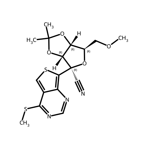 COC[C@H]1O[C@@](C#N)(c2scc3c(SC)ncnc23)[C@@H]2OC(C)(C)O[C@@H]21